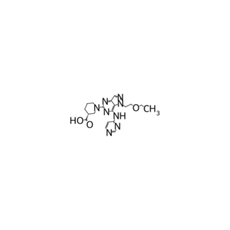 CCOCCn1ncc2nc(N3CCC[C@H](C(=O)O)C3)nc(Nc3ccncn3)c21